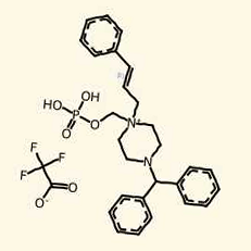 O=C([O-])C(F)(F)F.O=P(O)(O)OC[N+]1(C/C=C/c2ccccc2)CCN(C(c2ccccc2)c2ccccc2)CC1